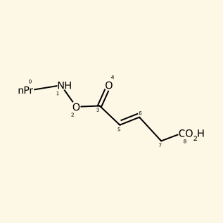 CCCNOC(=O)C=CCC(=O)O